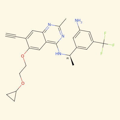 C#Cc1cc2nc(C)nc(N[C@H](C)c3cc(N)cc(C(F)(F)F)c3)c2cc1OCCOC1CC1